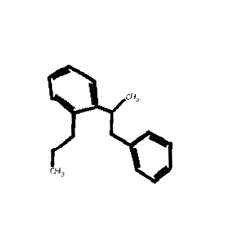 CCCc1ccccc1C(C)Cc1ccccc1